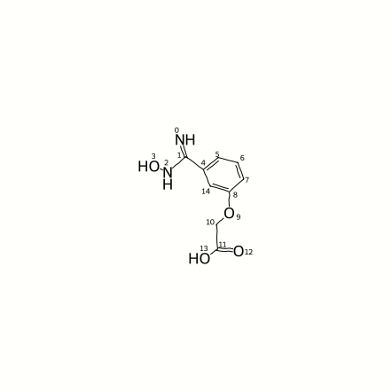 N=C(NO)c1cccc(OCC(=O)O)c1